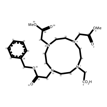 COC(=O)CN1CCN(CC(=O)O)CCN(CC(=O)OCc2ccccc2)CCN(CC(=O)OC)CC1